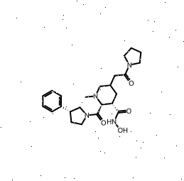 CN1CC(CC(=O)N2CCCC2)C[C@H](C(=O)NO)[C@H]1C(=O)N1CC[C@H](c2ccccc2)C1